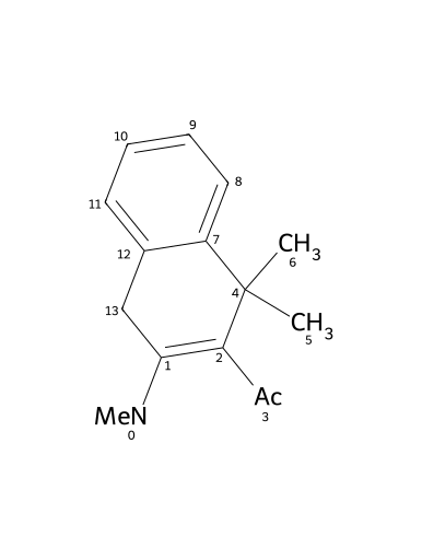 CNC1=C(C(C)=O)C(C)(C)c2ccccc2C1